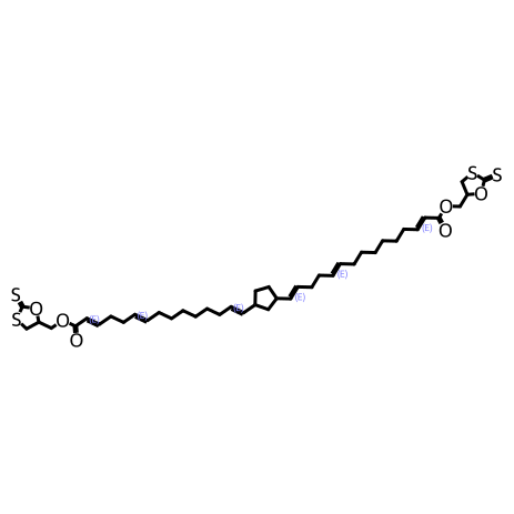 O=C(/C=C/CC/C=C/CCCCCC/C=C/C1CCC(/C=C/CC/C=C/CCCCCC/C=C/C(=O)OCC2CSC(=S)O2)C1)OCC1CSC(=S)O1